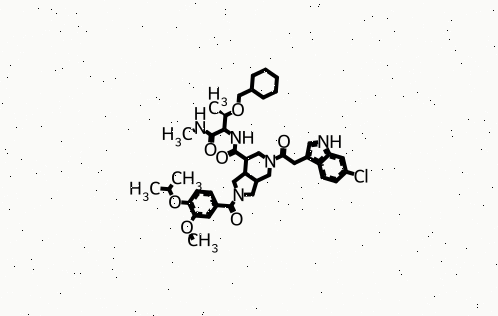 CNC(=O)C(NC(=O)C1CN(C(=O)Cc2c[nH]c3cc(Cl)ccc23)CC2CN(C(=O)c3ccc(OC(C)C)c(OC)c3)CC21)[C@@H](C)OCC1CCCCC1